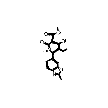 CCc1c(-c2ccc3nc(C)oc3c2)[nH]c(=O)c(C(=O)OC)c1O